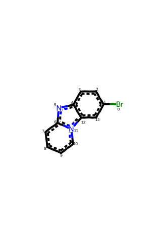 Brc1ccc2nc3ccccn3c2c1